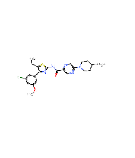 CCOC(=O)C1CCN(c2cnc(C(=O)Nc3nc(-c4cc(Cl)cc(OC(F)(F)F)c4)c(COC(C)=O)s3)cn2)CC1